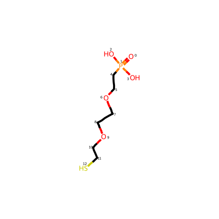 O=P(O)(O)CCOCCOCCS